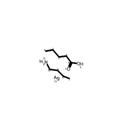 CCCCC(=O)O.CCCCN.[Ag]